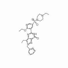 CCOc1ncc(S(=O)(=O)N2CCN(CC)CC2)cc1-c1nc2c(CC)n(Cc3ccccn3)nc2c(=O)[nH]1